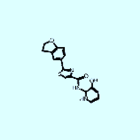 O=C(NC1NC=CC=C1O)c1csc(-c2ccc3c(c2)CCO3)n1